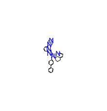 CN1CCN(c2cccc3nc(CN(Cc4ccc(-c5ccccc5)cc4)[C@H]4CCCc5cccnc54)cn23)CC1